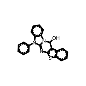 OC1c2c(sc3ccccc23)N=C2N(c3ccccc3)c3ccccc3N21